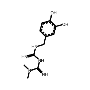 CN(C)C(=N)NC(=N)NCc1ccc(O)c(O)c1